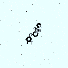 Cc1ccc(OC2CCCN(S(=O)(=O)c3cccs3)C2)cc1F